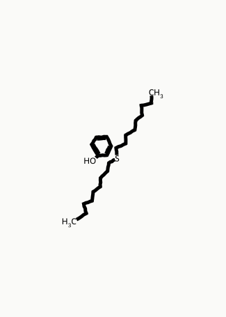 CCCCCCCCCSCCCCCCCCC.Oc1ccccc1